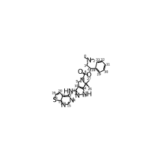 CN(C)CC(OC(=O)N1Cc2c(Nc3ncnc4sccc34)n[nH]c2C1(C)C)c1ccccc1